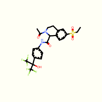 CCS(=O)(=O)c1ccc2c(c1)CCN(C(C)=O)C2C(=O)Nc1ccc(C(O)(C(F)(F)F)C(F)(F)F)cc1